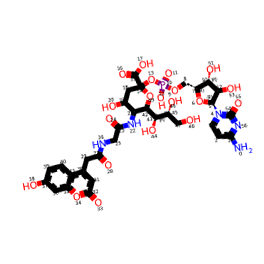 Nc1ccn([C@@H]2O[C@H](COP(=O)(O)OC3(C(=O)O)CC(O)C(NC(=O)CNC(=O)Cc4cc(=O)oc5cc(O)ccc45)C([C@H](O)[C@H](O)CO)O3)[C@H](O)C2O)c(=O)n1